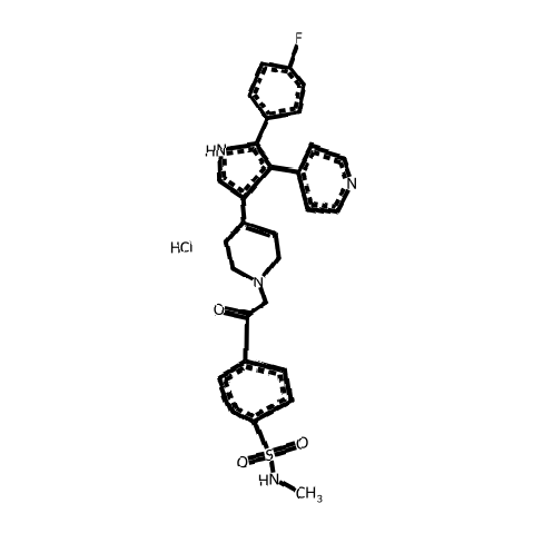 CNS(=O)(=O)c1ccc(C(=O)CN2CC=C(c3c[nH]c(-c4ccc(F)cc4)c3-c3ccncc3)CC2)cc1.Cl